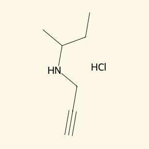 C#CCNC(C)CC.Cl